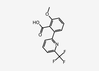 COc1cccc(-c2cccc(C(F)(F)F)n2)c1C(=O)O